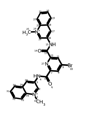 C[n+]1cc(NC(=O)c2cc(Br)cc(C(=O)Nc3cc4ccccc4[n+](C)c3)n2)cc2ccccc21